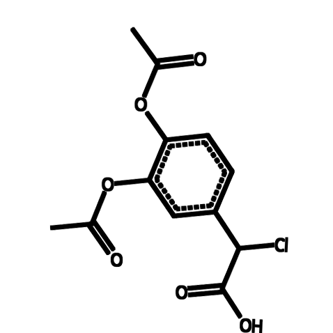 CC(=O)Oc1ccc(C(Cl)C(=O)O)cc1OC(C)=O